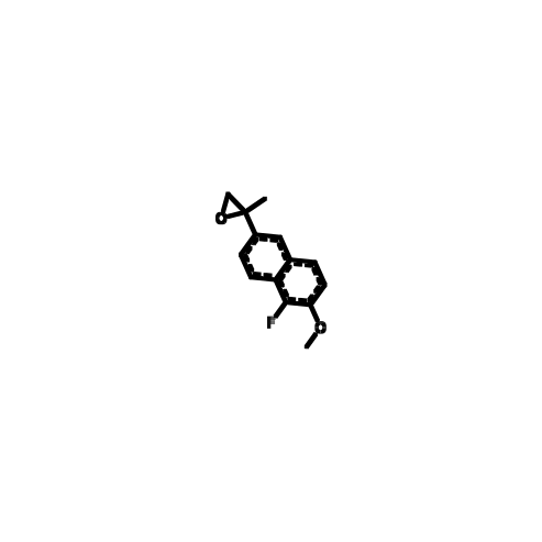 COc1ccc2cc(C3(C)CO3)ccc2c1F